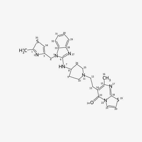 Cc1nc(Cn2c(NC3CCN(CCc4c(C)nc5sccn5c4=O)CC3)nc3ccccc32)cs1